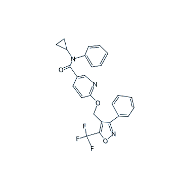 O=C(c1ccc(OCc2c(-c3ccccc3)noc2C(F)(F)F)nc1)N(c1ccccc1)C1CC1